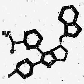 C[S+]([O-])c1nccc(-c2c(-c3ccc(F)cc3)nc3n2[C@H](Cn2ccc4ccccc42)CC3)n1